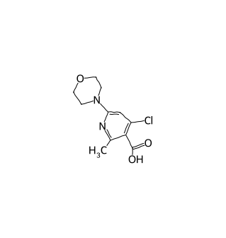 Cc1nc(N2CCOCC2)cc(Cl)c1C(=O)O